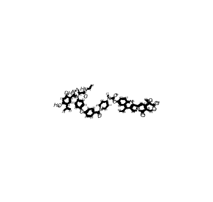 CCNC(=O)c1nnc(-c2cc(C(C)C)c(O)cc2O)n1-c1ccc(Oc2ccc(C(=O)N3CCC(N(C)C(=O)Oc4ccc5nc6c(c(CC)c5c4)Cn4c-6cc5c(c4=O)COC(=O)C54CO4)CC3)cc2)cc1